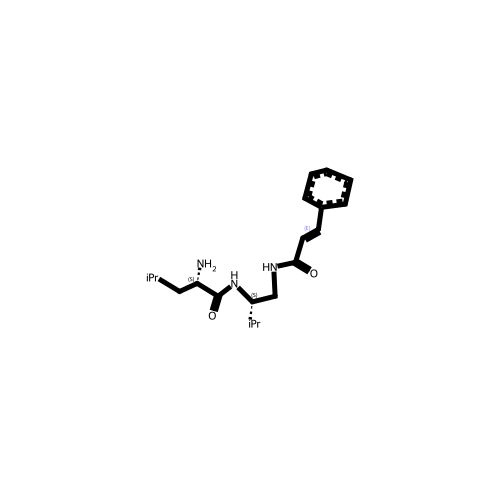 CC(C)C[C@H](N)C(=O)N[C@H](CNC(=O)/C=C/c1ccccc1)C(C)C